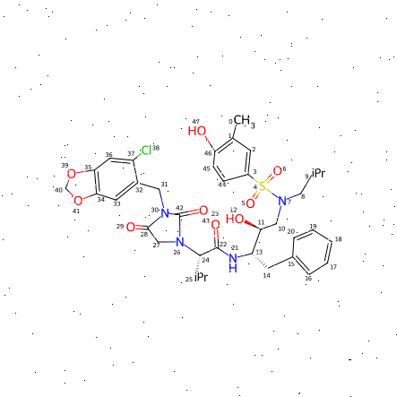 Cc1cc(S(=O)(=O)N(CC(C)C)C[C@H](O)[C@H](Cc2ccccc2)NC(=O)[C@H](C(C)C)N2CC(=O)N(Cc3cc4c(cc3Cl)OCO4)C2=O)ccc1O